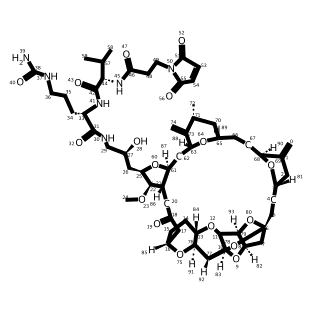 C=C1C[C@@H]2CC[C@@]34C[C@H]5O[C@@H]6C(O[C@H]7CC[C@H](CC(=O)C[C@@H]8[C@@H](OC)[C@@H](C[C@H](O)CNC(=O)[C@H](CCCNC(N)=O)NC(=O)[C@@H](NC(=O)CCN9C(=O)C=CC9=O)C(C)C)O[C@H]8C[C@H]8O[C@@H](CC[C@@H]1O2)C[C@@H](C)C8=C)O[C@@H]7[C@@H]6O3)[C@H]5O4